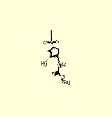 CC(C)(C)OC(=O)N[C@@H]1C[C@@H](S(C)(=O)=O)C[C@H]1O